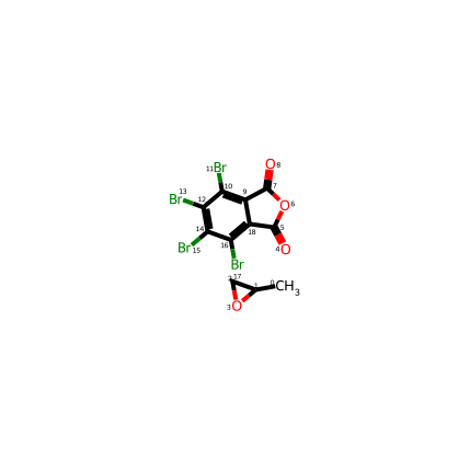 CC1CO1.O=C1OC(=O)c2c(Br)c(Br)c(Br)c(Br)c21